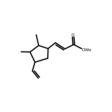 C=CC1CC(/C=C/C(=O)OC)C(C)C1C